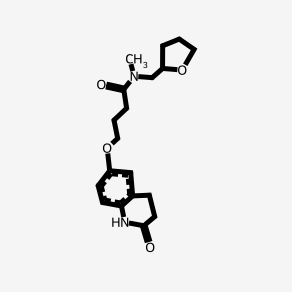 CN(CC1CCCO1)C(=O)CCCOc1ccc2c(c1)CCC(=O)N2